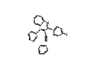 C#Cc1c(-c2ccc(F)cc2)nc2ccccc2c1-c1ccccc1.c1ccccc1